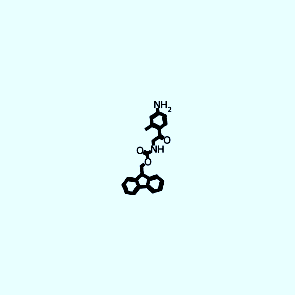 Cc1cc(N)ccc1C(=O)CNC(=O)OCC1c2ccccc2-c2ccccc21